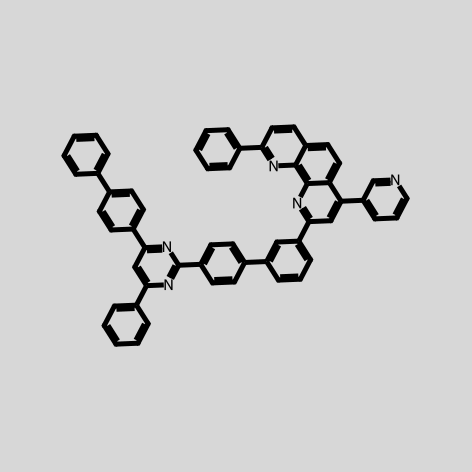 c1ccc(-c2ccc(-c3cc(-c4ccccc4)nc(-c4ccc(-c5cccc(-c6cc(-c7cccnc7)c7ccc8ccc(-c9ccccc9)nc8c7n6)c5)cc4)n3)cc2)cc1